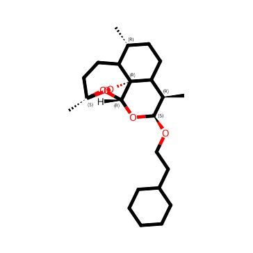 C[C@@H]1CCC2[C@@H](C)[C@@H](OCCC3CCCCC3)O[C@@H]3O[C@]4(C)CCC1[C@@]23OO4